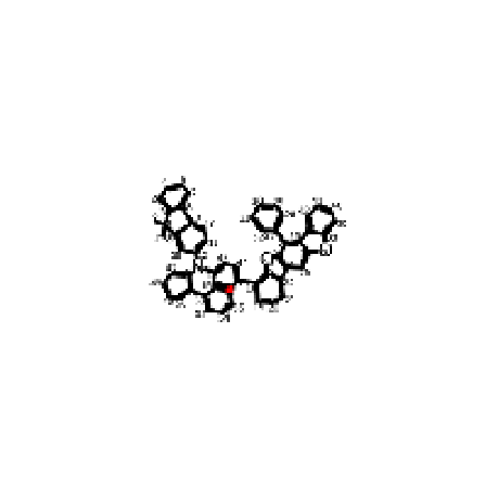 CC1(C)c2ccccc2-c2ccc(N(c3ccc(-c4cccc5c4oc4c(-c6ccccc6)c6c(cc45)oc4ccccc46)cc3)c3ccccc3-c3ccccc3)cc21